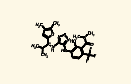 Cc1cc([C@H](Nc2nsnc2Nc2ccc(C(F)(F)F)c(C(=O)N(C)C)c2O)C(C)C)oc1C